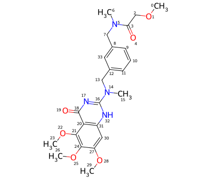 COCC(=O)N(C)Cc1cccc(CN(C)c2nc(=O)c3c(OC)c(OC)c(OC)cc3[nH]2)c1